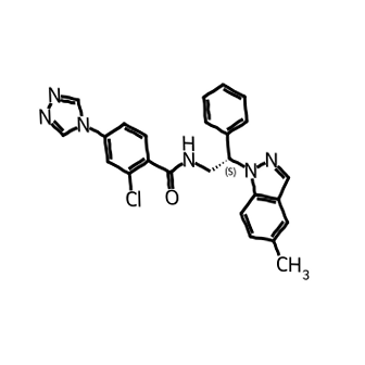 Cc1ccc2c(cnn2[C@H](CNC(=O)c2ccc(-n3cnnc3)cc2Cl)c2ccccc2)c1